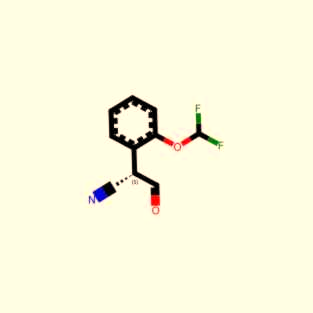 N#C[C@@H](C=O)c1ccccc1OC(F)F